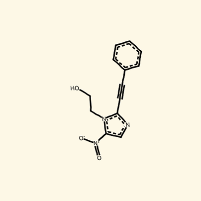 O=[N+]([O-])c1cnc(C#Cc2ccccc2)n1CCO